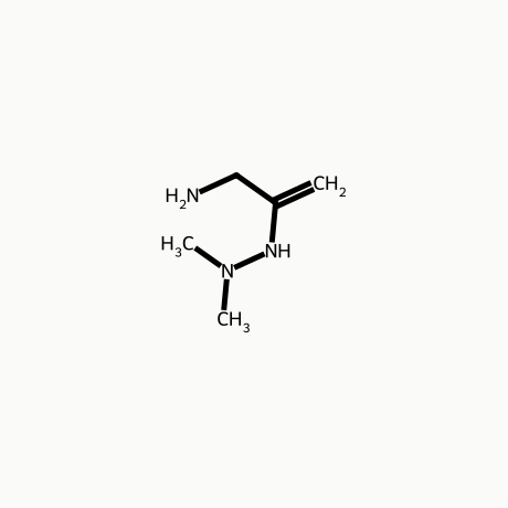 C=C(CN)NN(C)C